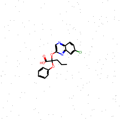 CCCC(Oc1ccccc1)(Oc1cnc2ccc(Cl)cc2n1)C(=O)O